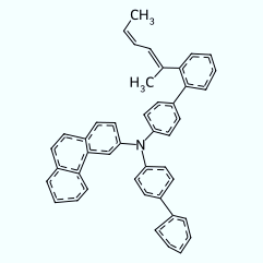 C/C=C\C=C(/C)c1ccccc1-c1ccc(N(c2ccc(-c3ccccc3)cc2)c2ccc3ccc4ccccc4c3c2)cc1